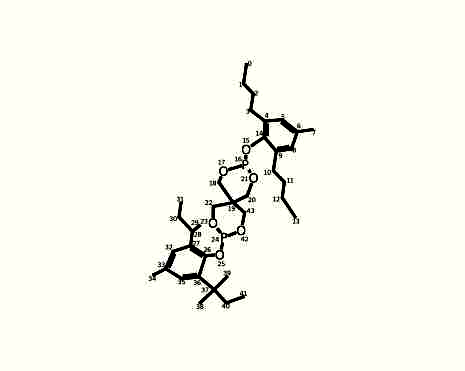 CCCCc1cc(C)cc(CCCC)c1OP1OCC2(CO1)COP(Oc1c(C(C)CC)cc(C)cc1C(C)(C)CC)OC2